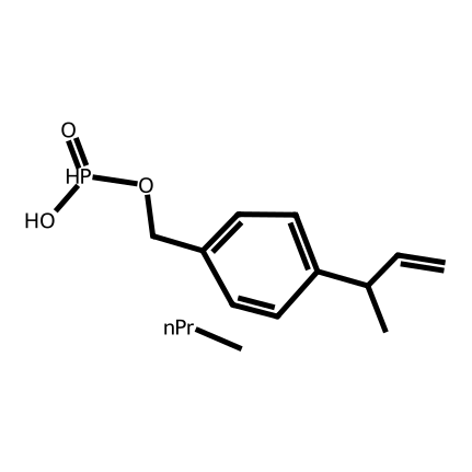 C=CC(C)c1ccc(CO[PH](=O)O)cc1.CCCC